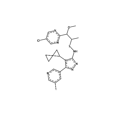 COC(c1ncc(Cl)cn1)C(C)SNc1nnc(-c2cncc(C)c2)n1C1CC12CC2